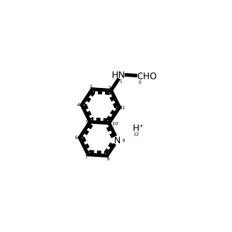 O=CNc1ccc2cccnc2c1.[H+]